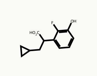 O=C(O)C(CC1CC1)c1cccc(O)c1F